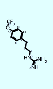 N=C(N)NCCCc1ccc(OC(F)(F)F)cc1